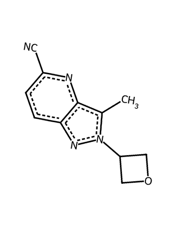 Cc1c2nc(C#N)ccc2nn1C1COC1